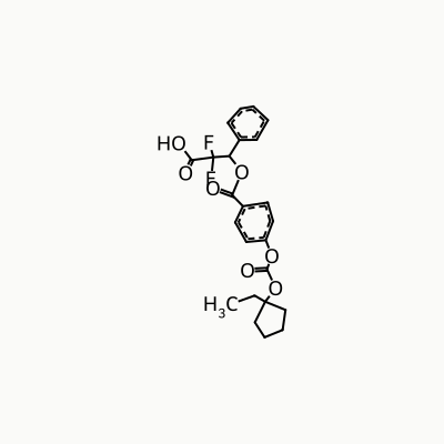 CCC1(OC(=O)Oc2ccc(C(=O)OC(c3ccccc3)C(F)(F)C(=O)O)cc2)CCCC1